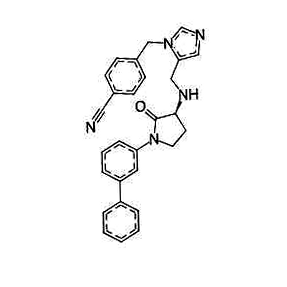 N#Cc1ccc(Cn2cncc2CN[C@H]2CCN(c3cccc(-c4ccccc4)c3)C2=O)cc1